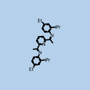 CCc1ccc(N=C(C)c2cccc(C(C)=Nc3ccc(CC)cc3C(C)C)n2)c(C(C)C)c1